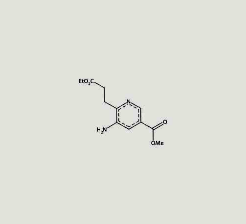 CCOC(=O)CCc1ncc(C(=O)OC)cc1N